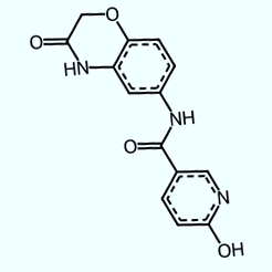 O=C1COc2ccc(NC(=O)c3ccc(O)nc3)cc2N1